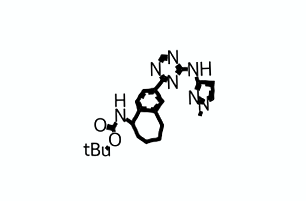 Cn1ccc(Nc2ncnc(-c3ccc4c(c3)CCCCC4NC(=O)OC(C)(C)C)n2)n1